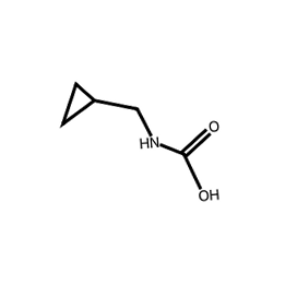 O=C(O)NCC1CC1